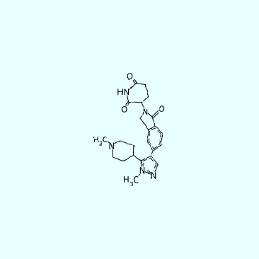 CN1CCC(c2c(-c3ccc4c(c3)CN(C3CCC(=O)NC3=O)C4=O)cnn2C)CC1